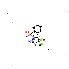 CC(O)(c1ccccc1)[C@@H]1CC(F)(F)CN1